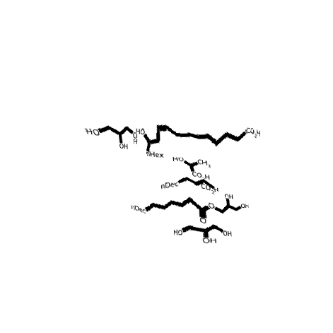 CC(O)C(=O)O.CCCCCCC(O)C/C=C\CCCCCCCC(=O)O.CCCCCCCCCCCCCC(=O)O.CCCCCCCCCCCCCCCC(=O)OCC(O)CO.OCC(O)CO.OCC(O)CO